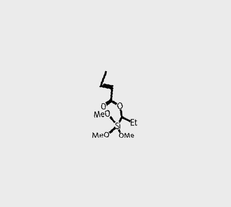 CC=CC(=O)OC(CC)[Si](OC)(OC)OC